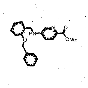 COC(=O)c1ccc(NCc2ccccc2OCc2ccccc2)cn1